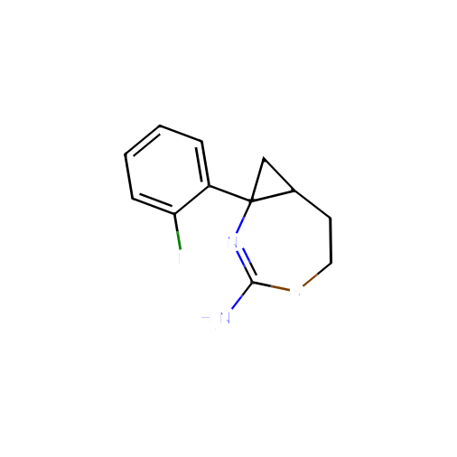 NC1=NC2(c3ccccc3F)CC2CCS1